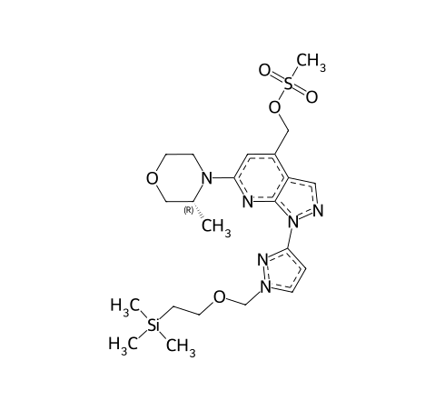 C[C@@H]1COCCN1c1cc(COS(C)(=O)=O)c2cnn(-c3ccn(COCC[Si](C)(C)C)n3)c2n1